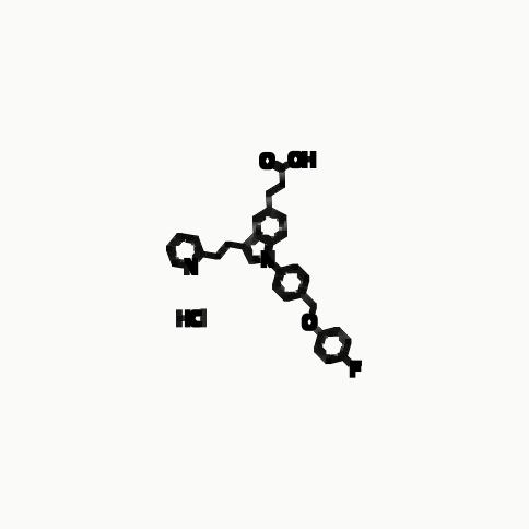 Cl.O=C(O)CCc1ccc2c(c1)c(CCc1ccccn1)cn2-c1ccc(COc2ccc(F)cc2)cc1